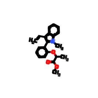 C=Cc1c(-c2ccccc2OC(C)C(=O)OC)n(C)c2ccccc12